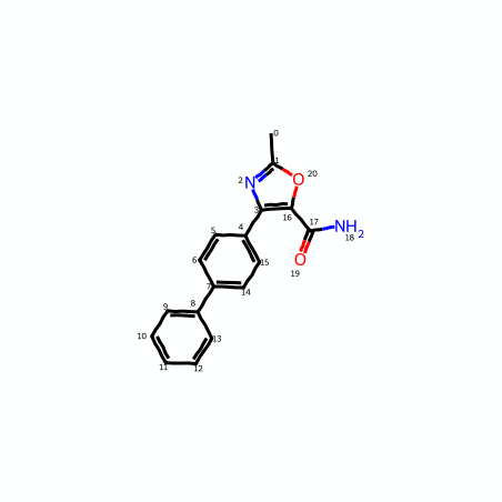 Cc1nc(-c2ccc(-c3ccccc3)cc2)c(C(N)=O)o1